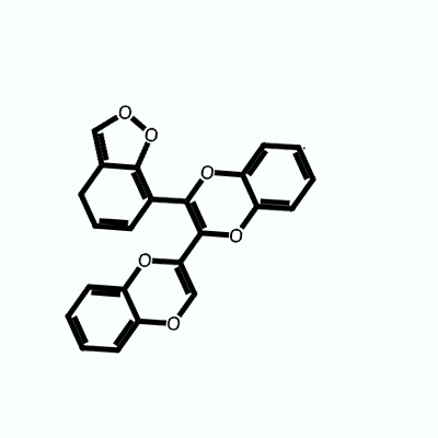 [c]1ccc2c(c1)OC(C1=C3OOC=C3CC=C1)=C(C1=COc3ccccc3O1)O2